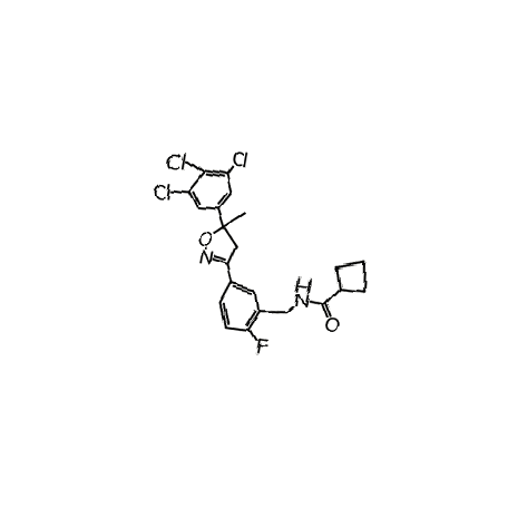 CC1(c2cc(Cl)c(Cl)c(Cl)c2)CC(c2ccc(F)c(CNC(=O)C3CCC3)c2)=NO1